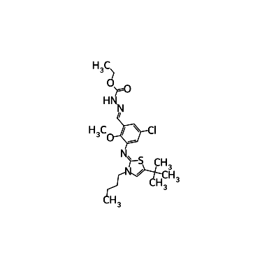 CCCCn1cc(C(C)(C)C)s/c1=N\c1cc(Cl)cc(C=NNC(=O)OCC)c1OC